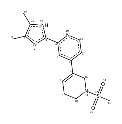 Cc1nc(-c2cc(C3=CCCN(S(C)(=O)=O)C3)ccn2)[nH]c1C